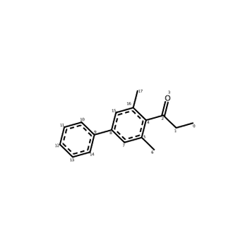 CCC(=O)c1c(C)cc(-c2ccccc2)cc1C